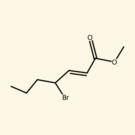 CCCC(Br)/C=C/C(=O)OC